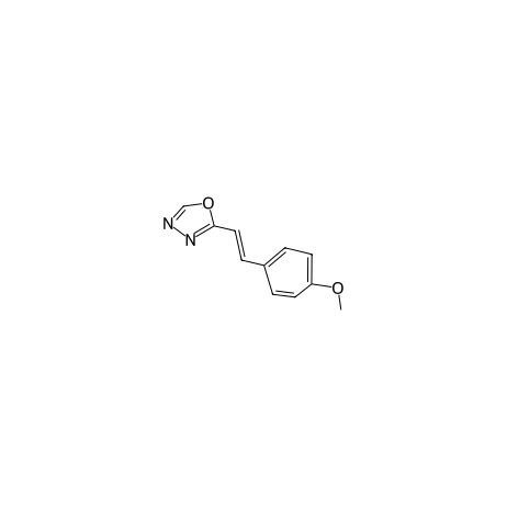 COc1ccc(C=Cc2nnco2)cc1